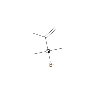 C=C(C)[Si](C)(C)Br